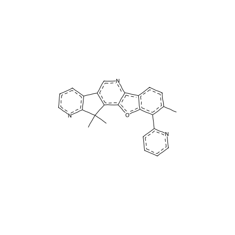 Cc1ccc2c(oc3c4c(cnc32)-c2cccnc2C4(C)C)c1-c1ccccn1